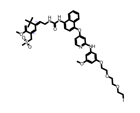 C=C(OC)/C(=C\C(=C/CNC(=O)Nc1ccc(Oc2ccnc(Nc3cc(OC)cc(OCCOCCOCCI)c3)c2)c2ccccc12)C(C)(C)C)CS(C)(=O)=O